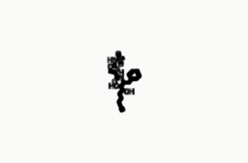 C#CCCCC(O)C(O)C(Cc1ccccc1)NC(=O)c1coc(NS(C)(=O)=O)n1